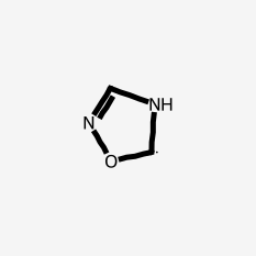 [CH]1NC=NO1